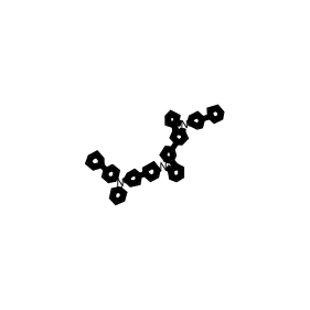 c1ccc(-c2ccc(N(c3ccccc3)c3ccc(-c4ccc(-n5c6ccccc6c6cc(-c7ccc8c(c7)c7ccccc7n8-c7ccc(-c8ccccc8)cc7)ccc65)cc4)cc3)cc2)cc1